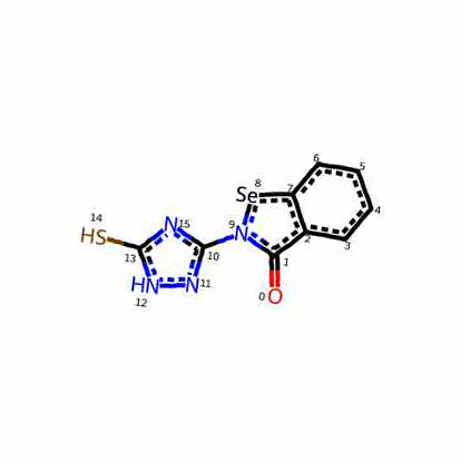 O=c1c2ccccc2[se]n1-c1n[nH]c(S)n1